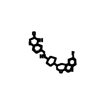 O=C1CSc2ccc(CNC3CCC(C4COc5cnc6ccc(F)cc6c5C4)CC3)cc2N1